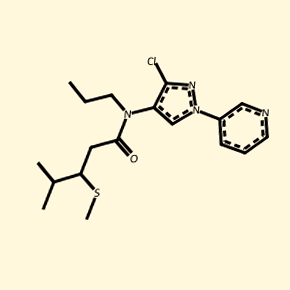 CCCN(C(=O)CC(SC)C(C)C)c1cn(-c2cccnc2)nc1Cl